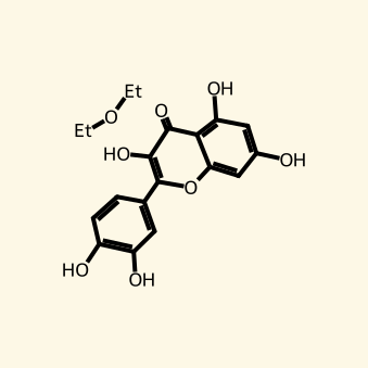 CCOCC.O=c1c(O)c(-c2ccc(O)c(O)c2)oc2cc(O)cc(O)c12